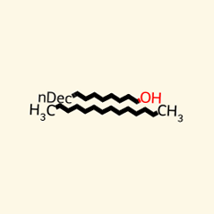 CCCCCCCCCCCCCC.CCCCCCCCCCCCCCCCCCO